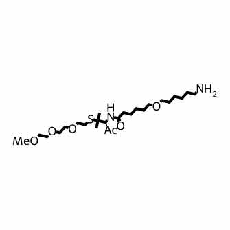 COCCOCCOCCSC(C)(C)[C@H](NC(=O)CCCCCOCCCCCCN)C(C)=O